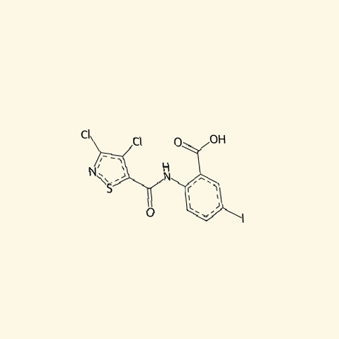 O=C(O)c1cc(I)ccc1NC(=O)c1snc(Cl)c1Cl